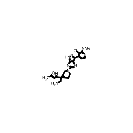 CNc1nccc(-c2n[nH]c3nc(N4CCC5C(C4)C5(CN)c4cc(C)on4)cnc23)c1Cl